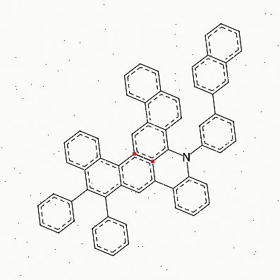 c1ccc(-c2c(-c3ccccc3)c3cc(-c4ccccc4N(c4cccc(-c5ccc6ccccc6c5)c4)c4cccc5c4ccc4ccccc45)ccc3c3ccccc23)cc1